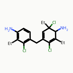 CCC1=C(Cl)C(Cc2ccc(N)c(CC)c2Cl)=CC(Cl)(CC)C1N